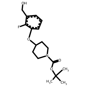 CC(C)(C)OC(=O)N1CCC(Oc2cccc(CO)c2F)CC1